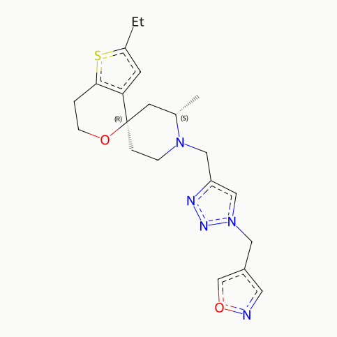 CCc1cc2c(s1)CCO[C@@]21CCN(Cc2cn(Cc3cnoc3)nn2)[C@@H](C)C1